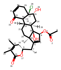 CC(=O)O[C@H]1C=C([C@H](C)[C@H]2CC(C)=C(C)C(=O)O2)[C@@]2(C)CC[C@H]3[C@@H](C[C@@H](O)[C@@]4(Cl)CC=CC(=O)[C@]34C)[C@]12O